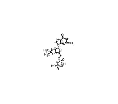 CC1(C)OC2C(COP(=O)(O)CP(=O)(O)O)OC(n3cnc4c(=O)[nH]c(N)nc43)C2O1